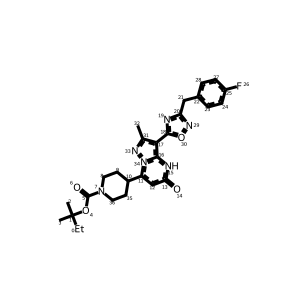 CCC(C)(C)OC(=O)N1CCC(c2cc(=O)[nH]c3c(-c4nc(Cc5ccc(F)cc5)no4)c(C)nn23)CC1